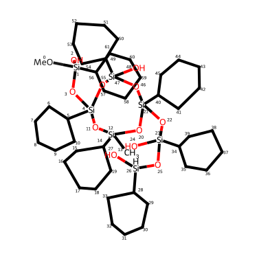 CO[Si](O)(O[Si]1(C2CCCCC2)O[Si](C)(C2CCCCC2)O[Si](O[Si](O)(O[SiH](O)C2CCCCC2)C2CCCCC2)(C2CCCCC2)O[Si](O)(C2CCCCC2)O1)C1CCCCC1